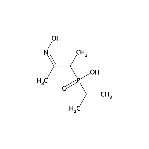 CC(=NO)C(C)P(=O)(O)C(C)C